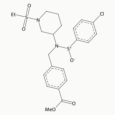 CCS(=O)(=O)N1CCCC(N(Cc2ccc(C(=O)OC)cc2)[S+]([O-])c2ccc(Cl)cc2)C1